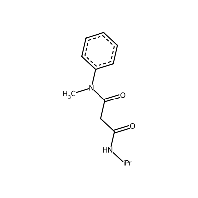 CC(C)NC(=O)CC(=O)N(C)c1ccccc1